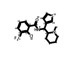 CN1CCCCC1C(NC(=O)c1cccc(C(F)(F)F)c1Cl)c1ccsc1